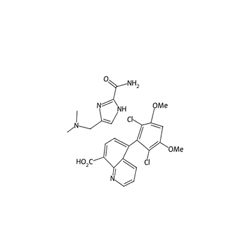 CN(C)Cc1c[nH]c(C(N)=O)n1.COc1cc(OC)c(Cl)c(-c2ccc(C(=O)O)c3ncccc23)c1Cl